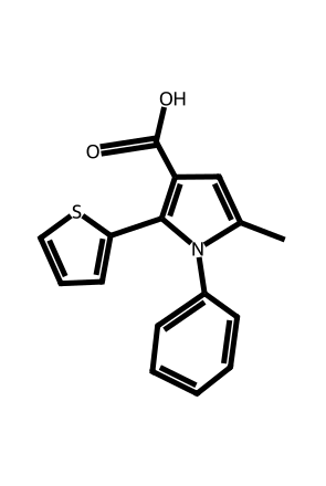 Cc1cc(C(=O)O)c(-c2cccs2)n1-c1ccccc1